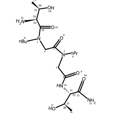 CCCCN(CC(=O)N(CCC)CC(=O)N[C@H](C(N)=O)[C@@H](C)O)C(=O)[C@@H](N)[C@@H](C)O